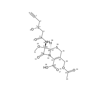 C#CC[S+]([O-])CC(=O)N[C@]1(OC)C(=O)N2C(C(=O)O)=C(COC(C)=O)CS[C@@H]21